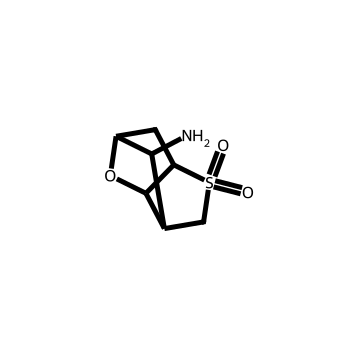 NC1C2CC3C(O2)C1CS3(=O)=O